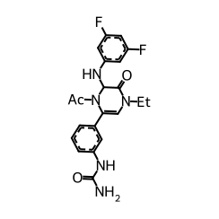 CCN1C=C(c2cccc(NC(N)=O)c2)N(C(C)=O)C(Nc2cc(F)cc(F)c2)C1=O